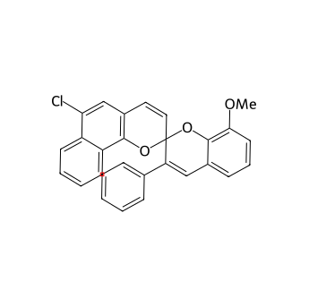 COc1cccc2c1OC1(C=Cc3cc(Cl)c4ccccc4c3O1)C(c1ccccc1)=C2